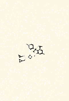 O=C1N(C[C@H]2C[C@@H](N(CC3CC3)CC3CC3)C2)c2cc(I)cc(C(F)(F)F)c2C1(O)c1ccc(Cl)cc1Cl